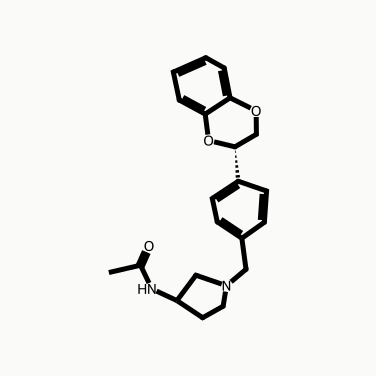 CC(=O)NC1CCN(Cc2ccc([C@H]3COc4ccccc4O3)cc2)C1